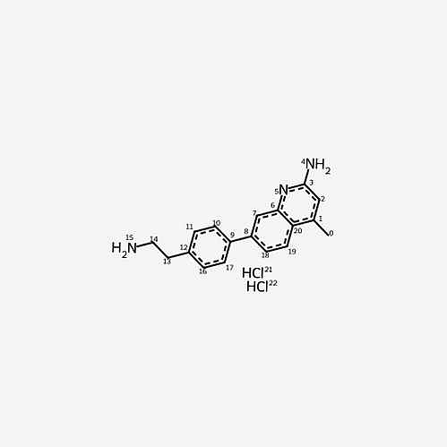 Cc1cc(N)nc2cc(-c3ccc(CCN)cc3)ccc12.Cl.Cl